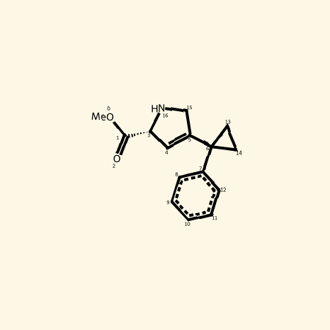 COC(=O)[C@H]1C=C(C2(c3ccccc3)CC2)CN1